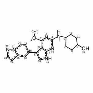 CCOc1nc(NC2CCC(O)CC2)nc2[nH]cc(-c3ccn4nccc4c3)c12